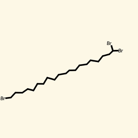 BrCCCCCCCCCCCCCCCCCCCC(Br)Br